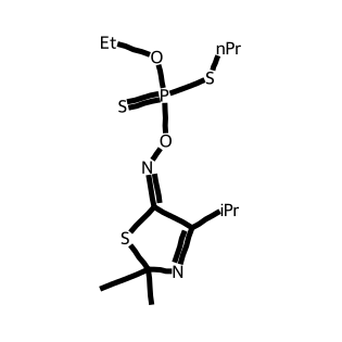 CCCSP(=S)(OCC)ON=C1SC(C)(C)N=C1C(C)C